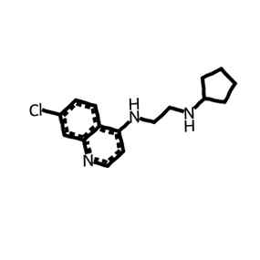 Clc1ccc2c(NCCNC3CCCC3)ccnc2c1